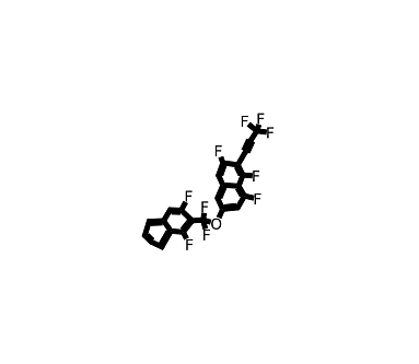 Fc1cc2cc(OC(F)(F)c3c(F)cc4ccccc4c3F)cc(F)c2c(F)c1C#CC(F)(F)F